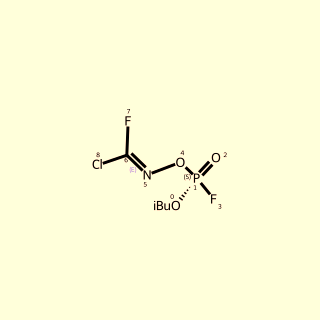 CC(C)CO[P@](=O)(F)O/N=C(\F)Cl